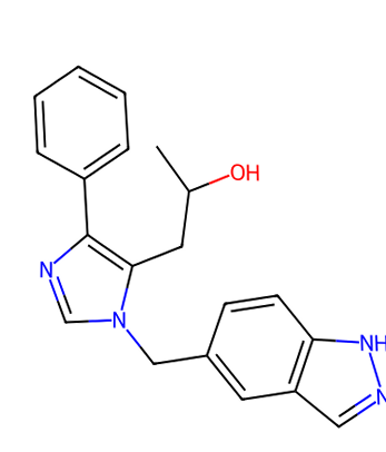 CC(O)Cc1c(-c2ccccc2)ncn1Cc1ccc2[nH]ncc2c1